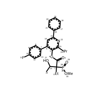 CCC(C(=O)Oc1c(-c2ccc(F)cc2)cc(-c2ccccc2)nc1C(C)C)(C(C)O)[PH](=O)OC